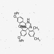 CCCOc1ccc(C2=NC(c3ccc(C)cc3C)(c3ccc(OCCC)cc3O)N=CN2)c(O)c1